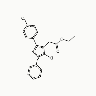 CCOC(=O)Cc1c(-c2ccc(Cl)cc2)nn(-c2ccccc2)c1Cl